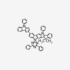 CC1(C)c2ccccc2-c2c1c1cc3c(cc1n2-c1ccccc1)c1cc(-c2ccc4c(c2)c2ccccc2n4-c2ccccc2)ccc1n3-c1nc(-c2ccccc2)nc(-c2ccccc2)n1